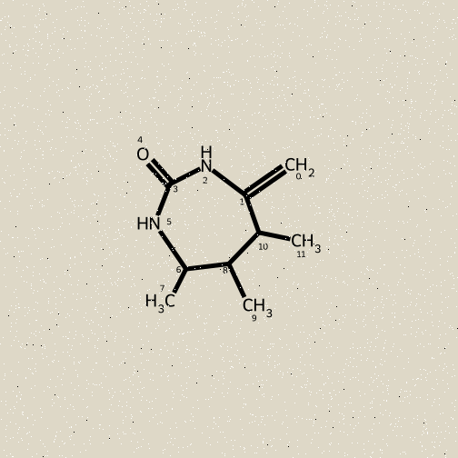 C=C1NC(=O)NC(C)C(C)C1C